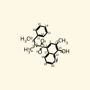 Cc1cc(S(=O)(=O)N(C)[C@H](C)c2ccccc2)c2cccnc2c1O